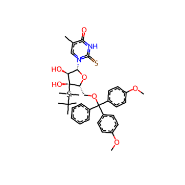 COc1ccc(C(OC[C@H]2O[C@@H](n3cc(C)c(=O)[nH]c3=S)[C@H](O)[C@@]2(O)[Si](C)(C)C(C)(C)C)(c2ccccc2)c2ccc(OC)cc2)cc1